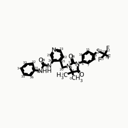 CC1(C)C(=O)N(c2ccc(SC(F)(F)F)cc2)C(=O)N1Cc1ccncc1NC(=O)Nc1ccccc1